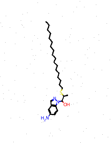 CCCCCCCCCCCCCCCCCCSC(C)C(O)n1ncc2cc(N)ccc21